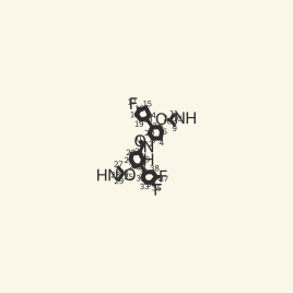 O=C(Nc1ccc(OC2CNC2)c(-c2ccc(F)cc2)c1)c1ccc(OC2CNC2)c(-c2ccc(F)c(F)c2)c1